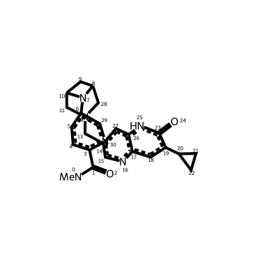 CNC(=O)c1ccc(N2C3CC2CN(Cc2cnc4cc(C5CC5)c(=O)[nH]c4c2)C3)cn1